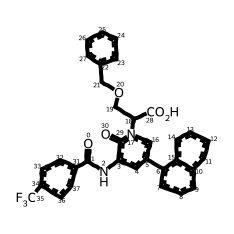 O=C(Nc1cc(-c2cccc3ccccc23)cn(C(COCc2ccccc2)C(=O)O)c1=O)c1ccc(C(F)(F)F)cc1